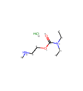 CCN(CC)C(=O)OCCNC.Cl